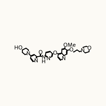 COc1cc2c(Oc3ccc(NC(=O)c4cc(N5CCC(O)CC5)ccn4)nc3)ccnc2cc1OCCCN1CCOCC1